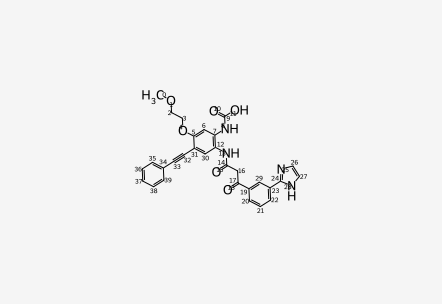 COCCOc1cc(NC(=O)O)c(NC(=O)CC(=O)c2cccc(-c3ncc[nH]3)c2)cc1C#Cc1ccccc1